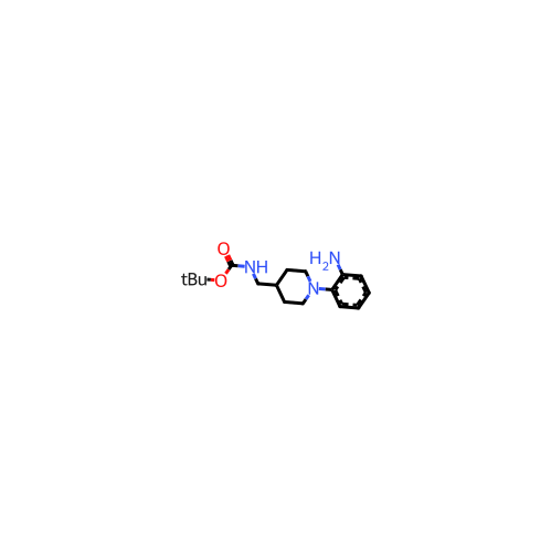 CC(C)(C)OC(=O)NCC1CCN(c2ccccc2N)CC1